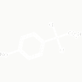 O=C(O)C(Cl)(Cl)c1ccc(O)cc1